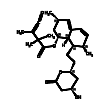 CC(=C=O)C(C)(C)C(=O)O[C@@H]1C[C@H](C)C=C2C=C[C@@H](C)[C@@H](CC[C@@H]3C[C@H](O)CC(=O)O3)[C@@H]21